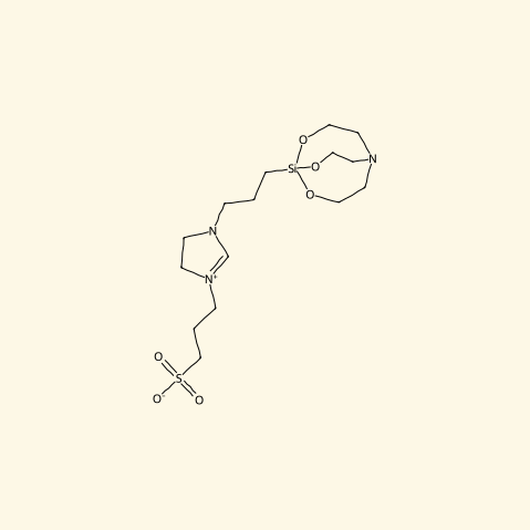 O=S(=O)([O-])CCC[N+]1=CN(CCC[Si]23OCCN(CCO2)CCO3)CC1